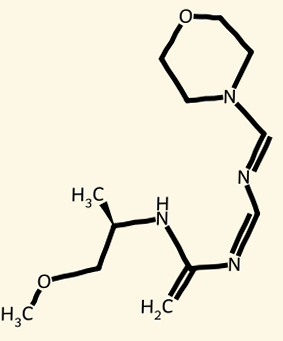 C=C(/N=C\N=C\N1CCOCC1)N[C@H](C)COC